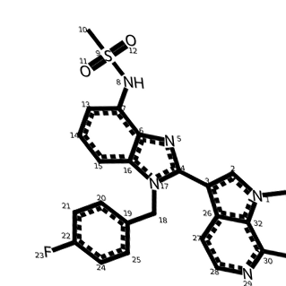 Cn1cc(-c2nc3c(NS(C)(=O)=O)cccc3n2Cc2ccc(F)cc2)c2ccnc(O)c21